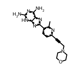 Cc1nc(C#CCN2CCOCC2)ccc1-c1nc2[nH]c(N)nc(N)c-2n1